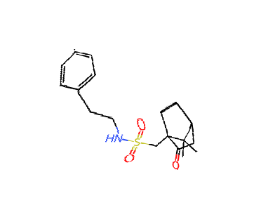 CC1(C)C2CCC1(CS(=O)(=O)NCCc1cc[c]cc1)C(=O)C2